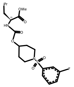 COC(=O)[C@H](CC(C)C)NC(=O)OC1CCN(S(=O)(=O)c2cccc(F)c2)CC1